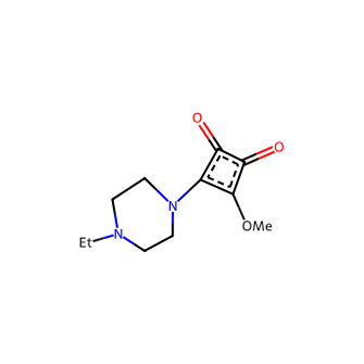 CCN1CCN(c2c(OC)c(=O)c2=O)CC1